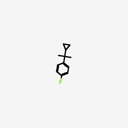 CC(C)(c1ccc(F)cc1)C1CC1